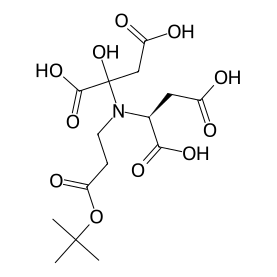 CC(C)(C)OC(=O)CCN([C@@H](CC(=O)O)C(=O)O)C(O)(CC(=O)O)C(=O)O